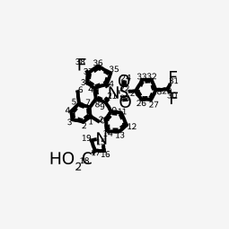 Cc1cccc(C)c1-c1c(-c2cccc(N3CC(C(=O)O)C3)c2)n(S(=O)(=O)c2ccc(C(F)F)cc2)c2ccc(F)cc12